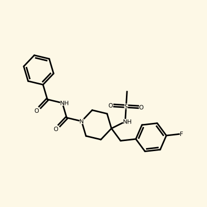 CS(=O)(=O)NC1(Cc2ccc(F)cc2)CCN(C(=O)NC(=O)c2ccccc2)CC1